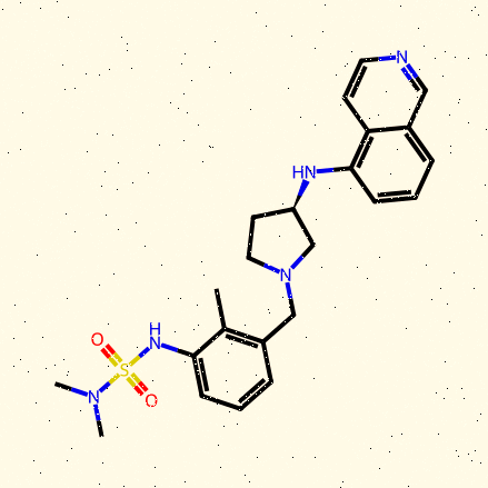 Cc1c(CN2CC[C@@H](Nc3cccc4cnccc34)C2)cccc1NS(=O)(=O)N(C)C